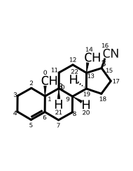 C[C@]12CCCC=C1CC[C@@H]1[C@H]2CC[C@]2(C)C(C#N)CC[C@@H]12